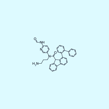 NCCCN(C(=O)C1c2ccccc2-c2cccc(-c3ccccc3-c3ccccc3)c21)c1ccc(NC=O)nc1